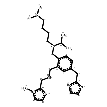 CCCN(CCC)CCCCN(Cc1ccc(Cc2ncc[nH]2)cc1CNCc1nccn1C)C(C)OC(C)=O